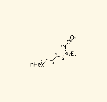 CCCCCCCCCCC(CC)N=C=O